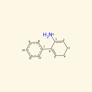 NC1=CCCC=C1c1ccccc1